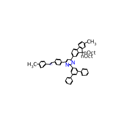 CCCCCCCCC1(CCCCCCCC)c2cc(C)ccc2-c2ccc(-c3cc(-c4ccc(/C=C/c5ccc(C)cc5)cc4)nc(-c4cc(-c5ccccc5)cc(-c5ccccc5)c4)n3)cc21